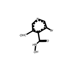 O=[C]c1cncc(Br)c1C(=O)NO